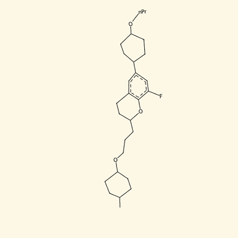 CCCOC1CCC(c2cc(F)c3c(c2)CCC(CCCOC2CCC(C)CC2)O3)CC1